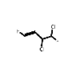 FC=CC(Cl)C(F)Cl